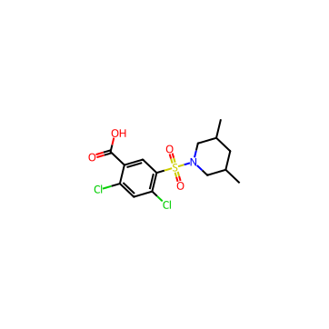 CC1CC(C)CN(S(=O)(=O)c2cc(C(=O)O)c(Cl)cc2Cl)C1